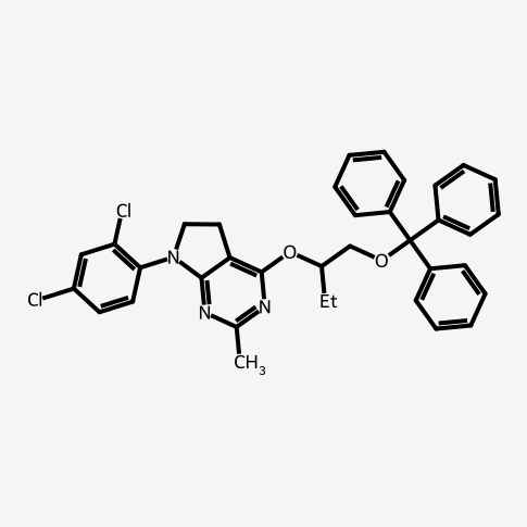 CCC(COC(c1ccccc1)(c1ccccc1)c1ccccc1)Oc1nc(C)nc2c1CCN2c1ccc(Cl)cc1Cl